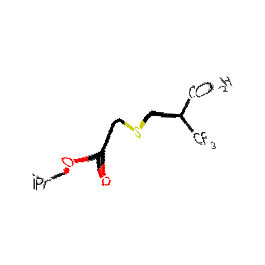 CC(C)OC(=O)CSCC(C(=O)O)C(F)(F)F